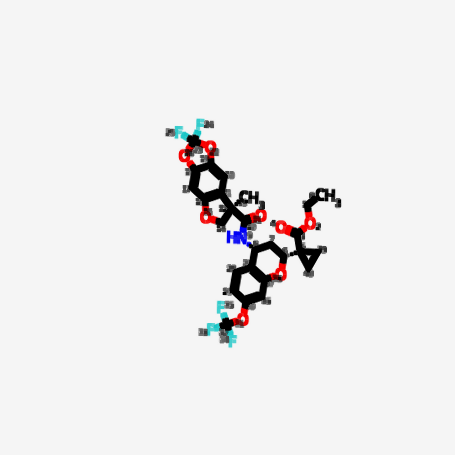 CCOC(=O)C1([C@H]2C[C@@H](NC(=O)[C@@]3(C)COc4cc5c(cc43)OC(F)(F)O5)c3ccc(OC(F)(F)F)cc3O2)CC1